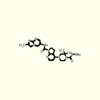 Cc1cn2cc(NC(=O)N3CCc4c(N5CCN(C(=O)OC(C)(C)C)C(C)(C)C5)ccnc43)cnc2n1